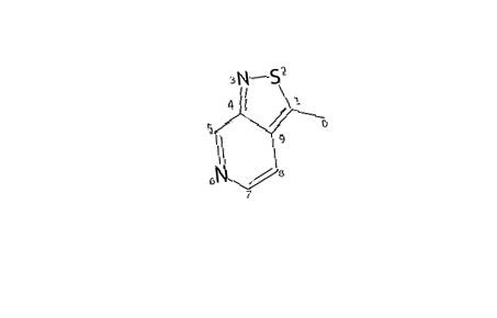 Cc1snc2cnccc12